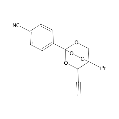 C#CC1OC2(c3ccc(C#N)cc3)OCC1(C(C)C)CO2